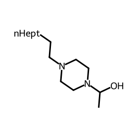 CCCCCCCCCN1CCN(C(C)O)CC1